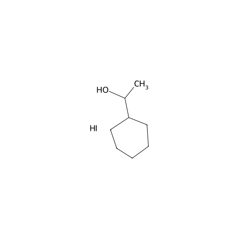 CC(O)C1CCCCC1.I